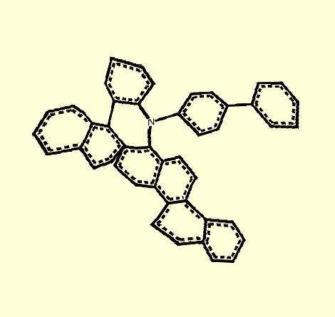 c1ccc(-c2ccc(N(c3ccccc3-c3cccc4ccccc34)c3cccc4c3ccc3c5ccccc5ccc43)cc2)cc1